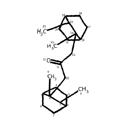 CC1C2CCC(CC2)C1(C)CC(=O)CC1(C)C2CCC(CC2)C1C